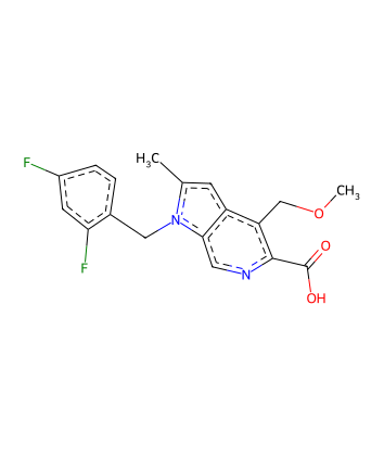 COCc1c(C(=O)O)ncc2c1cc(C)n2Cc1ccc(F)cc1F